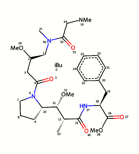 CC[C@H](C)[C@@H](C(CC(=O)N1CCC[C@H]1[C@H](OC)[C@@H](C)C(=O)N[C@@H](Cc1ccccc1)C(=O)OC)OC)N(C)C(=O)CNC